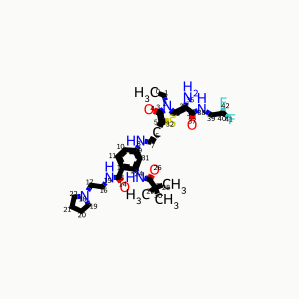 CCn1c(=O)c(=C=CNc2ccc(C(=O)NCCN3CCCC3)c(NC(=O)C(C)(C)C)c2)s/c1=C(/N)C(=O)NCC(F)F